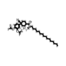 CCCCCCCCCCCCCCCCN(N)C(=O)C1CCC(C#N)(c2ccc(OC(F)F)c(OC(F)F)c2)CC1